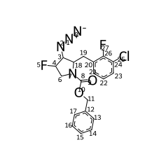 [N-]=[N+]=NC1C(F)CN(C(=O)OCc2ccccc2)C1Cc1cccc(Cl)c1F